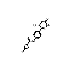 CC1CC(=O)NN=C1c1ccc(NC(=O)C2CC(Cl)C2)cc1